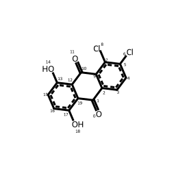 O=C1c2ccc(Cl)c(Cl)c2C(=O)c2c(O)ccc(O)c21